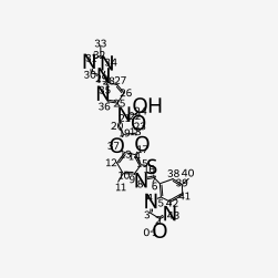 COc1cnc2c(-c3nc4c(C)cc5c(c4s3)OCC(CN(C(=O)O)c3ccc(-n4cnc(C)n4)nc3)O5)cc(C)cc2n1